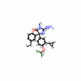 CCc1cccc(C2(c3ccc(OC(F)F)c(C4CC4)c3)N=C(N)N(C)C2=O)c1